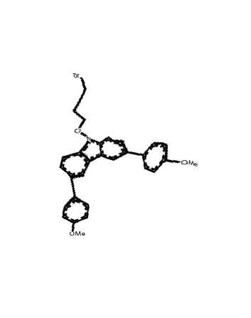 COc1ccc(-c2ccc3c(c2)c2cc(-c4ccc(OC)cc4)ccc2n3OCCCBr)cc1